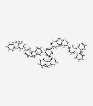 C1=CC2Oc3ccc(-c4ccc5c6ccccc6c6ccccc6c5c4)cc3C2C=C1c1nc(-c2ccc3c(c2)sc2ccc(-c4ccc5oc6ccccc6c5c4)cc23)nc(-c2cccc3oc4ccccc4c23)n1